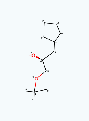 CC(C)(C)OC[C@@H](O)CC1CCCC1